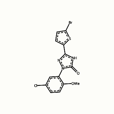 COc1ccc(Cl)cc1-n1nc(-c2ccc(Br)s2)[nH]c1=O